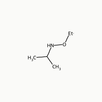 C[CH]ONC(C)C